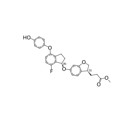 COC(=O)CC[C@@H]1COc2cc(O[C@@H]3CCc4c(Oc5ccc(O)cc5)ccc(F)c43)ccc21